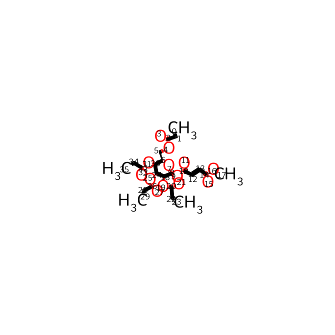 CCC(=O)OC[C@H]1O[C@H](OC(=O)/C=C/C(=O)OC)[C@@H](OC(=O)CC)[C@@H](OC(=O)CC)[C@@H]1OC(=O)CC